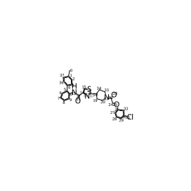 Cc1ccc(-c2ccccc2NC(=O)c2csc(C3CCN(C(=O)COc4cccc(Cl)c4)CC3)n2)cc1